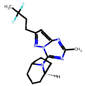 Cc1nc(N2C3CCC[C@@H]2CC3)n2nc(CCC(C)(F)F)cc2n1